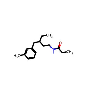 CCC(=O)NCCC(CC)Cc1cccc(C)c1